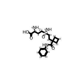 N=S(=O)(CC[C@H](N)C(=O)O)CCC1(C(=O)Nc2ccccc2)CCC1